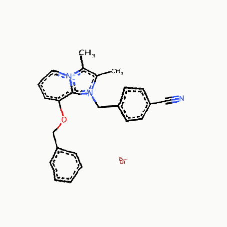 Cc1c(C)[n+]2cccc(OCc3ccccc3)c2n1Cc1ccc(C#N)cc1.[Br-]